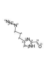 [N-]=[N+]=NCCCc1c[nH]c(C=O)n1